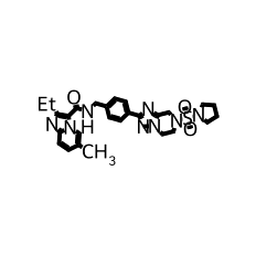 CCc1nc2ccc(C)cn2c1C(=O)NCc1ccc(-c2nc3n(n2)CCN(S(=O)(=O)N2CCCC2)C3)cc1